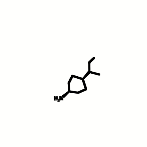 CCC(C)[C@H]1CC[C@@H](N)CC1